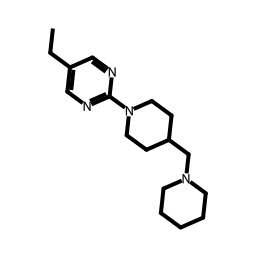 CCc1cnc(N2CCC(CN3CCCCC3)CC2)nc1